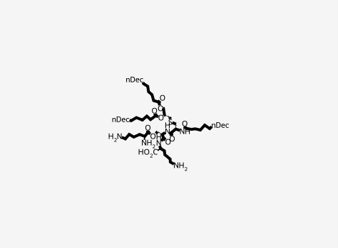 CCCCCCCCCCCCCCCC(=O)N[C@@H](CSC[C@@H](COC(=O)CCCCCCCCCCCCCCC)OC(=O)CCCCCCCCCCCCCCC)C(=O)N[C@@H](COC(=O)[C@@H](N)CCCCN)C(=O)N[C@@H](CCCCN)C(=O)O